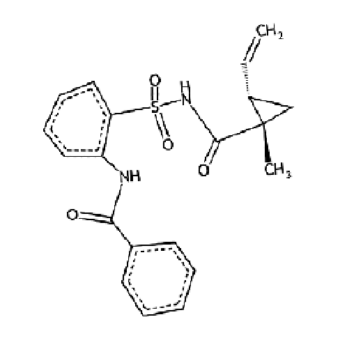 C=C[C@@H]1C[C@]1(C)C(=O)NS(=O)(=O)c1ccccc1NC(=O)c1ccccc1